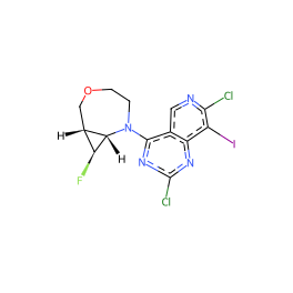 F[C@H]1[C@@H]2COCCN(c3nc(Cl)nc4c(I)c(Cl)ncc34)[C@H]12